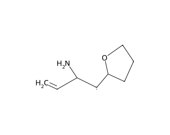 C=CC(N)[CH]C1CCCO1